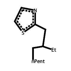 CCCCCCC(CC)Cc1nccs1